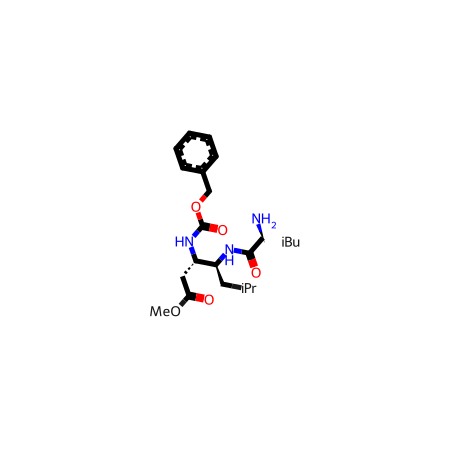 CC[C@H](C)[C@H](N)C(=O)N[C@@H](CC(C)C)[C@H](CC(=O)OC)NC(=O)OCc1ccccc1